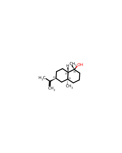 C=C(C)[C@H]1CC[C@H]2[C@@](C)(CCC[C@@]2(C)O)C1